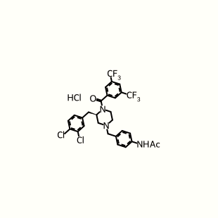 CC(=O)Nc1ccc(CN2CCN(C(=O)c3cc(C(F)(F)F)cc(C(F)(F)F)c3)[C@H](Cc3ccc(Cl)c(Cl)c3)C2)cc1.Cl